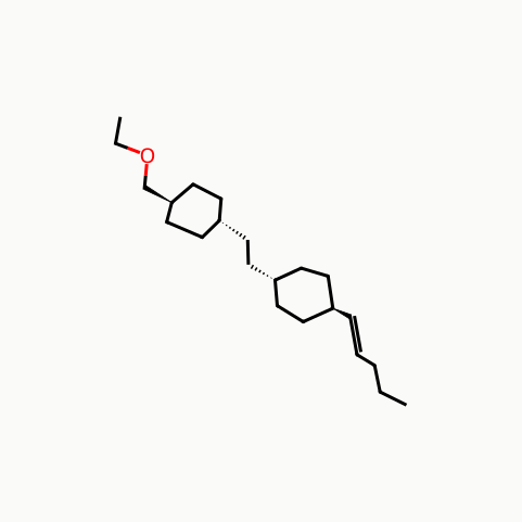 CCCC=C[C@H]1CC[C@H](CC[C@H]2CC[C@H](COCC)CC2)CC1